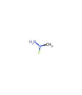 CN(N)F